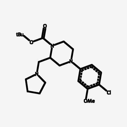 COc1cc(N2CCN(C(=O)OC(C)(C)C)C(CN3CCCC3)C2)ccc1Cl